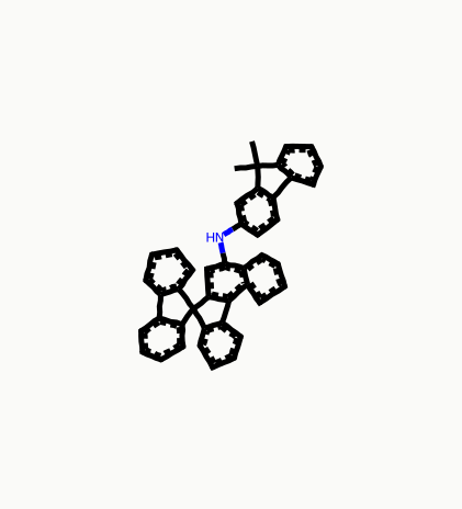 CC1(C)c2ccccc2-c2ccc(Nc3cc4c(c5ccccc35)-c3ccccc3C43c4ccccc4-c4ccccc43)cc21